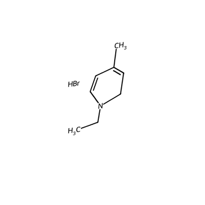 Br.CCN1C=CC(C)=CC1